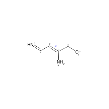 N=C/C=C(\N)CO